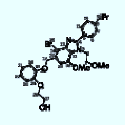 COCCn1c(-c2ccc(C(C)C)cc2)nc2c(Br)c(COc3ccccc3OCCO)cc(OC)c21